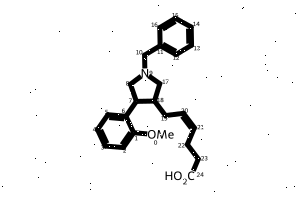 COc1ccccc1C1CN(Cc2ccccc2)CC1C/C=C\CCC(=O)O